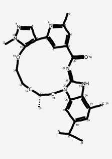 Cc1cc2cc(n1)-c1cnn(C)c1OCCC[C@@H](C)CN1/C(=N/C2=O)Nc2c(F)cc(C(C)C)cc21